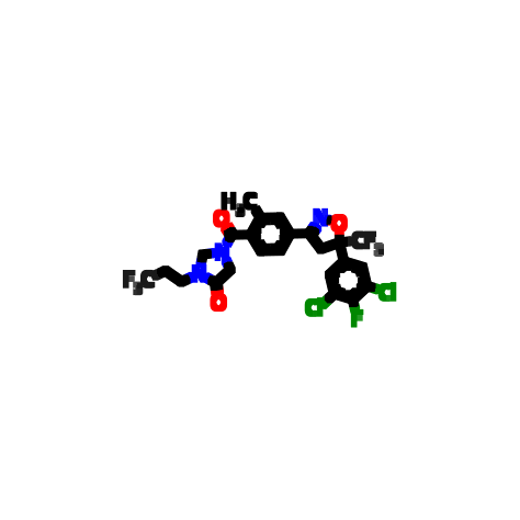 Cc1cc(C2=NOC(c3cc(Cl)c(F)c(Cl)c3)(C(F)(F)F)C2)ccc1C(=O)N1CC(=O)N(CCC(F)(F)F)C1